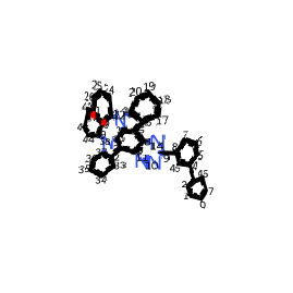 c1ccc(-c2cccc(-c3nnc4c(n3)c3c5ccccc5n(-c5ccccc5)c3c3c4c4ccccc4n3-c3ccccc3)c2)cc1